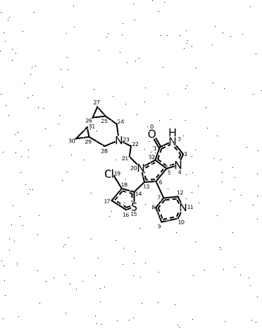 O=c1[nH]cnc2c(-c3cccnc3)c(-c3sccc3Cl)n(CCN(CC3CC3)CC3CC3)c12